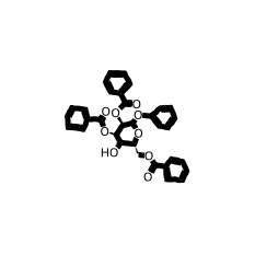 O=C(OC[C@H]1OC(Oc2ccccc2)[C@H](OC(=O)c2ccccc2)[C@@H](OC(=O)c2ccccc2)[C]1O)c1ccccc1